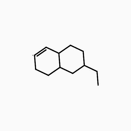 CCC1CCC2C=[C]CCC2C1